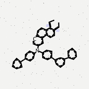 C/C=c1/ccc2c(ccc3ccc(N(c4ccc(-c5ccccc5)cc4)c4ccc(-c5cccc(-c6ccccc6)c5)cc4)cc32)/c1=C/C